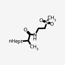 CCCCCCCC(C)C(=O)NCCS(C)(=O)=O